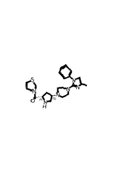 Cc1cn(-c2ccccc2)c(N2CCN([C@@H]3CN[C@H](C(=O)N4CCSC4)C3)CC2)n1